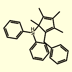 CC1=C(C)C(C)([SiH](c2ccccc2)c2ccccc2)C(Cc2ccccc2)=C1C